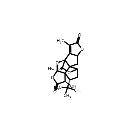 CC1=C2C(CC34C5C[C@@H](C(C)(C)C)C36[C@@H](OC(=O)[C@@H]6O)O[C@@]24C(=O)O5)OC1=O